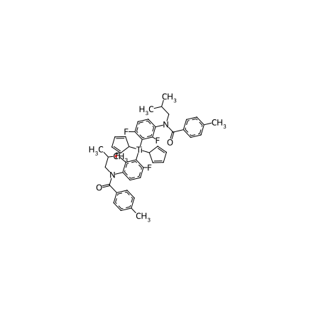 Cc1ccc(C(=O)N(CC(C)C)c2ccc(F)[c]([Ti]([c]3c(F)ccc(N(CC(C)C)C(=O)c4ccc(C)cc4)c3F)([CH]3C=CC=C3)[CH]3C=CC=C3)c2F)cc1